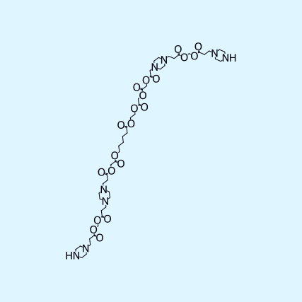 O=C(CCCCCOC(=O)COC(=O)CCN1CCN(CCC(=O)OCOC(=O)CCN2CCNCC2)CC1)OCCOC(=O)COC(=O)COC(=O)CN1CCN(CCC(=O)OCOC(=O)CCN2CCNCC2)CC1